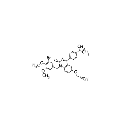 C#CCOc1ccc2c(c1)c(-c1ccc(C(C)C)cc1)nc(=O)n2Cc1cc(Br)c(OC)c(OC)c1